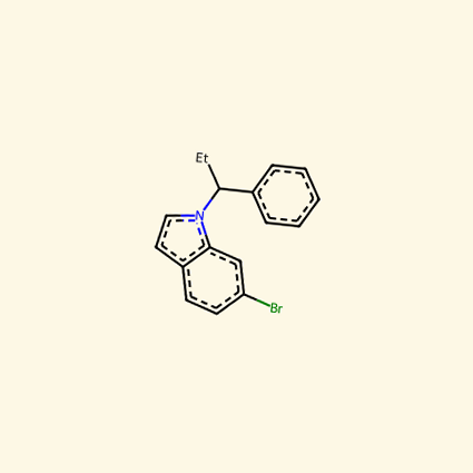 CCC(c1ccccc1)n1ccc2ccc(Br)cc21